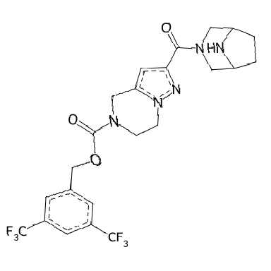 O=C(OCc1cc(C(F)(F)F)cc(C(F)(F)F)c1)N1CCn2nc(C(=O)N3CC4CCC(C3)N4)cc2C1